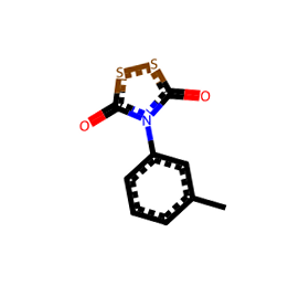 Cc1cccc(-n2c(=O)ssc2=O)c1